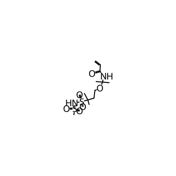 C=CC(=O)NC(C)(C)OCCC(C)(C)S(=O)(=O)NS(C)(=O)=O